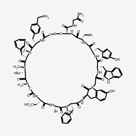 CCCC[C@H]1C(=O)N(C)CC(=O)N[C@@H](CC(=O)O)C(=O)N[C@@H](C(C)C)C(=O)N(C)[C@@H](Cc2ccccc2)C(=O)N[C@H]2Cc3ccc(O)cc3N(CC(=O)N[C@@H](Cc3c[nH]c4ccccc34)C(=O)N[C@@H](Cc3ccc(O)cc3)C(=O)N[C@@H](CC(C)C)C(=O)N[C@H](C(=O)NCC(N)=O)CSCC(=O)N[C@@H](Cc3ccc(CN)cc3)C(=O)N(C)[C@@H](Cc3ccccc3)C(=O)N1C)C2=O